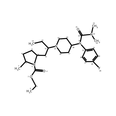 CCOC(=O)N1C(C)CCC1CC(CC)N1CCC(N(C(=O)N(C)C)c2ccc(F)cc2)CC1